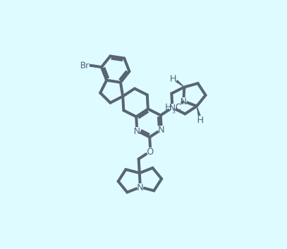 CN1[C@@H]2CC[C@H]1CN(c1nc(OCC34CCCN3CCC4)nc3c1CCC1(CCc4c(Br)cccc41)C3)C2